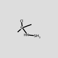 C[Si](C)(Cl)N[SiH3]